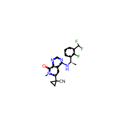 C[C@@H](Nc1ncnc2c(=O)n(C)c(C3(C#N)CC3)cc12)c1cccc(C(F)F)c1F